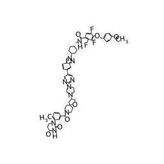 COc1ccc(COc2c(F)cc(C(=O)NC[C@H]3CC[C@H](n4cc5ccc(-c6cnc(N7CCN(C8COC9(CCN(C(=O)c%10ccc(C)c(N%11CCC(=O)NC%11=O)c%10)CC9)C8)CC7)nc6)cc5n4)CC3)c(F)c2F)cc1